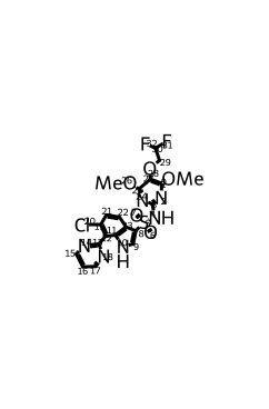 COc1nc(NS(=O)(=O)c2c[nH]c3c(-c4ncccn4)c(Cl)ccc23)nc(OC)c1OCC(F)F